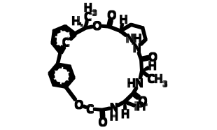 CC(C)[C@@H]1NC(=O)COc2ccc(cc2)-c2cccc(c2)[C@@H](C)OC(=O)[C@@H]2CCCN(N2)C(=O)[C@H](C)NC1=O